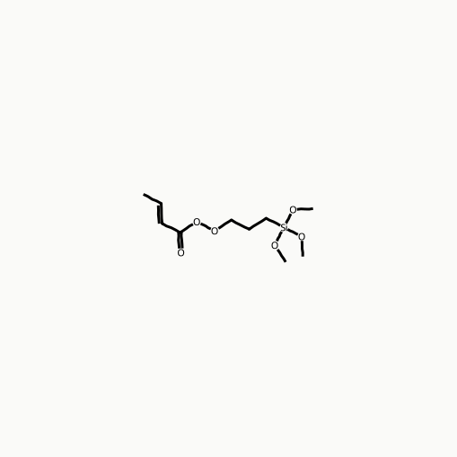 CC=CC(=O)OOCCC[Si](OC)(OC)OC